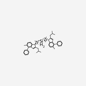 Cc1ccc2c(c1-c1ccccc1)C=C(CC(C)C)[CH]2[Zr]([CH3])([CH3])[CH2][SiH2][CH2][Zr]([CH3])([CH3])[CH]1C(CC(C)C)=Cc2c1ccc(C)c2-c1ccccc1